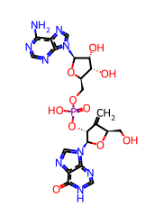 C=C1[C@@H](OP(=O)(O)OC[C@H]2O[C@@H](n3cnc4c(N)ncnc43)[C@H](O)[C@@H]2O)[C@H](n2cnc3c(=O)[nH]cnc32)O[C@@H]1CO